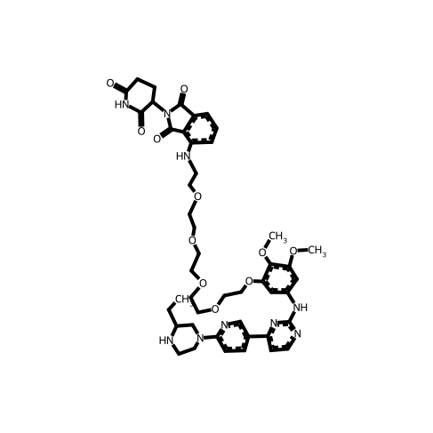 CCC1CN(c2ccc(-c3ccnc(Nc4cc(OC)c(OC)c(OCCOCCOCCOCCOCCNc5cccc6c5C(=O)N(C5CCC(=O)NC5=O)C6=O)c4)n3)cn2)CCN1